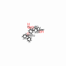 C#C[C@]1(O)CC[C@H]2[C@H](CO)[C@@H]([C@]3(C)CC[C@H](O[Si](c4ccccc4)(c4ccccc4)C(C)(C)C)C[C@@H]3CO)CC[C@@]21C